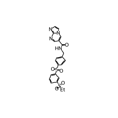 CCS(=O)(=O)c1cccc(S(=O)(=O)c2ccc(CNC(=O)c3cnc4nccn4c3)cc2)c1